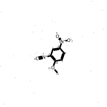 [C-]#[N+]c1cc([N+](=O)[O-])ccc1OC